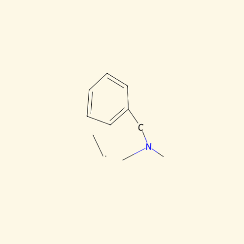 CN(C)Cc1ccccc1.[CH2]C